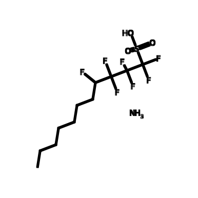 CCCCCCCC(F)C(F)(F)C(F)(F)C(F)(F)S(=O)(=O)O.N